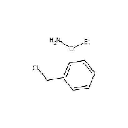 CCON.ClCc1ccccc1